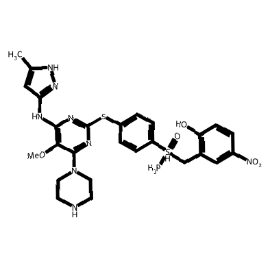 COc1c(Nc2cc(C)[nH]n2)nc(Sc2ccc([SH](=O)(P)Cc3cc([N+](=O)[O-])ccc3O)cc2)nc1N1CCNCC1